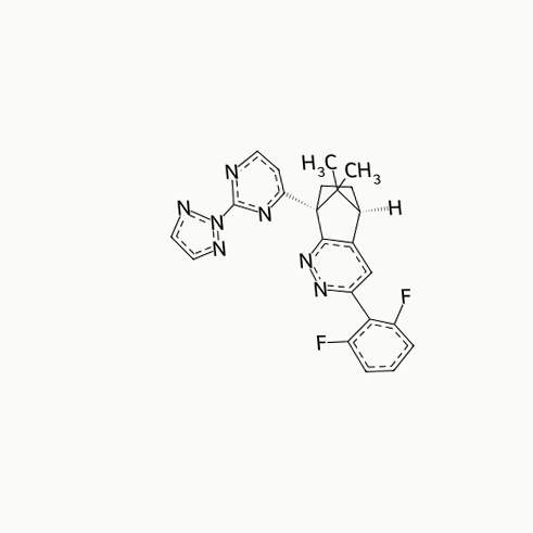 CC1(C)[C@H]2CC[C@]1(c1ccnc(-n3nccn3)n1)c1nnc(-c3c(F)cccc3F)cc12